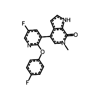 Cn1cc(-c2cc(F)cnc2Oc2ccc(F)cc2)c2cc[nH]c2c1=O